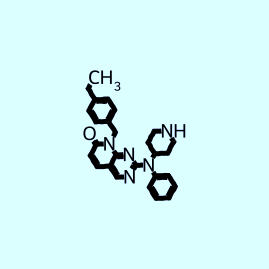 CCc1ccc(Cn2c(=O)ccc3cnc(N(c4ccccc4)C4CCNCC4)nc32)cc1